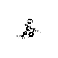 C[C@H](Nc1nc(Nc2cnccn2)cc(N2CC(C(N)=O)C2)n1)c1ccc(F)cc1